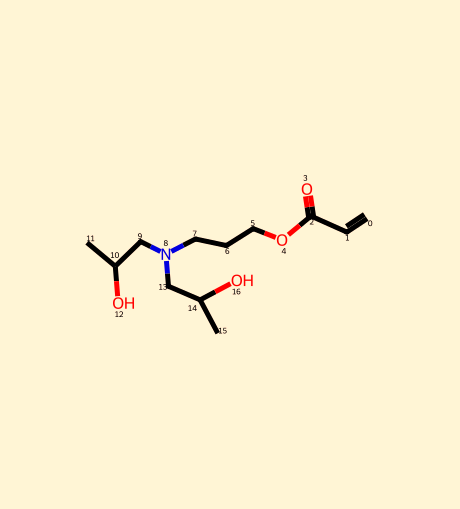 C=CC(=O)OCCCN(CC(C)O)CC(C)O